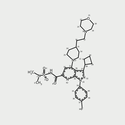 CN(C)S(=O)(=O)NC(=O)c1cc(N2CCC(CCN3CCOCC3)CC2)c2c(C3CCC3)nn(-c3ccc(F)cc3)c2n1